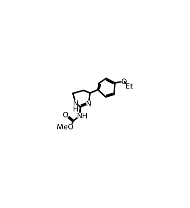 CCOc1ccc(C2CCNC(NC(=O)OC)=N2)cc1